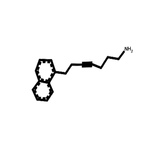 NCCCC#CCCc1cccc2ccccc12